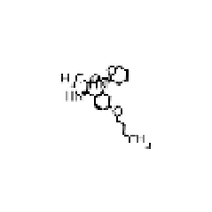 CCCCOc1ccc(C(=N)C(C)O)c(NC2CCCCO2)c1